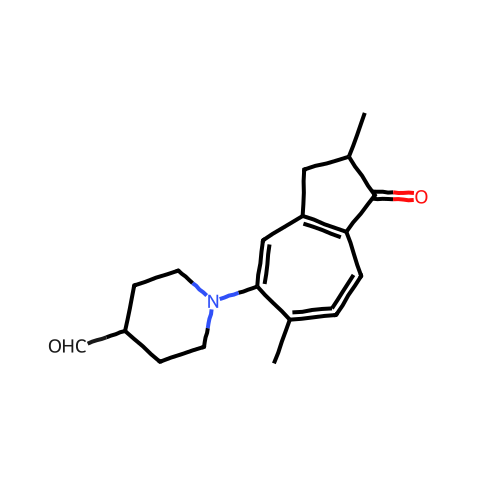 CC1=C=CC2=C(C=C1N1CCC(C=O)CC1)CC(C)C2=O